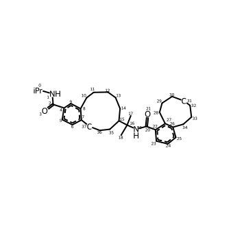 CC(C)NC(=O)c1ccc2c(c1)CCCCCC(C(C)(C)NC(=O)c1cccc3c1CCCCCCC3)CCC2